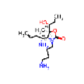 C=CC[C@@H](N)[C@H]1N(CCCCN)C(=O)O[C@]1(C)[C@H](O)CC